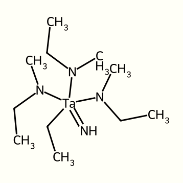 CC[N](C)[Ta](=[NH])([CH2]C)([N](C)CC)[N](C)CC